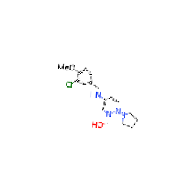 COc1ccc(CNC2=CN(CO)N(N3CCCC3)C=C2)cc1Cl